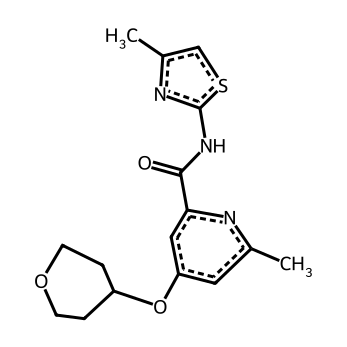 Cc1cc(OC2CCOCC2)cc(C(=O)Nc2nc(C)cs2)n1